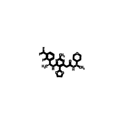 Cc1nc(CC(=O)NN(C)C2CCOCC2)c(C2OCCO2)c(N[C@H](C)c2cccc(C(F)F)c2F)n1